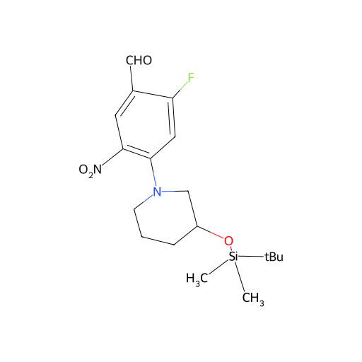 CC(C)(C)[Si](C)(C)OC1CCCN(c2cc(F)c(C=O)cc2[N+](=O)[O-])C1